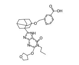 CCCn1c(OC2CCOC2)nc2nc(C34CC5CC(CC(OCc6cccc(C(=O)O)c6)(C5)C3)C4)[nH]c2c1=O